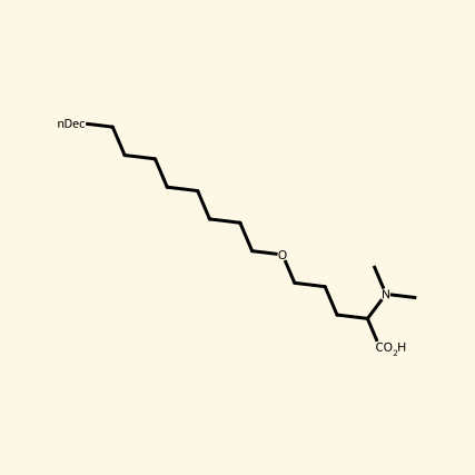 CCCCCCCCCCCCCCCCCCOCCCC(C(=O)O)N(C)C